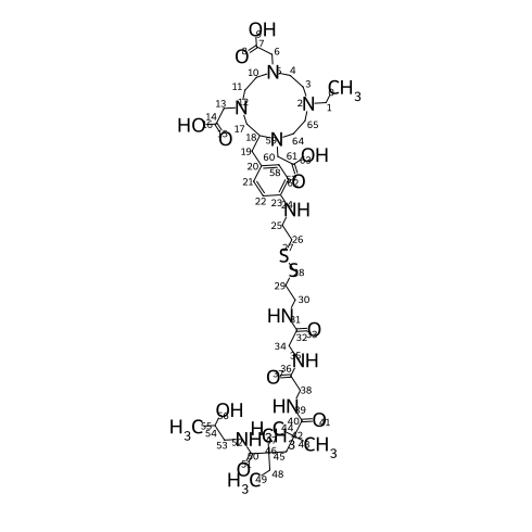 CCN1CCN(CC(=O)O)CCN(CC(=O)O)CC(Cc2ccc(NCCSSCCNC(=O)CNC(=O)CNC(=O)C(C)(C)CC(C)(CC)C(=O)NCC(C)O)cc2)N(CC(=O)O)CC1